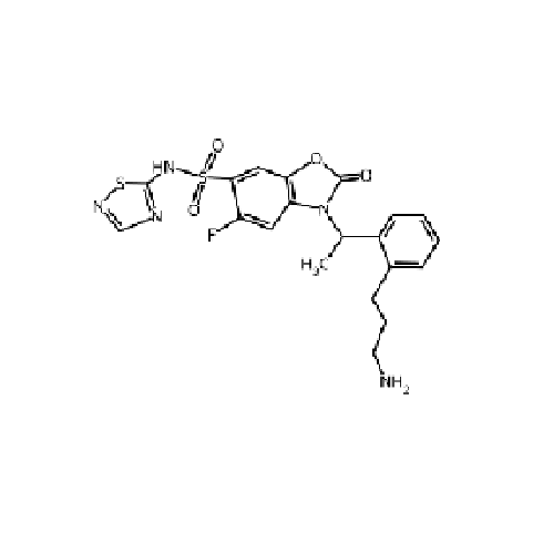 CC(c1ccccc1CCCN)n1c(=O)oc2cc(S(=O)(=O)Nc3ncns3)c(F)cc21